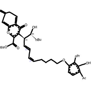 CCCC[C@@H](O)[C@@H](/C=C/C=C\CCCCOc1ccc(C(C)=O)c(O)c1CCC)c1c(C(=O)OC)oc2c(c1=O)=CCC(=S)C=2